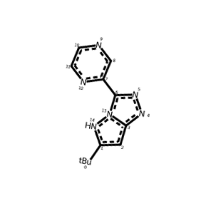 CC(C)(C)c1cc2nnc(-c3cnccn3)n2[nH]1